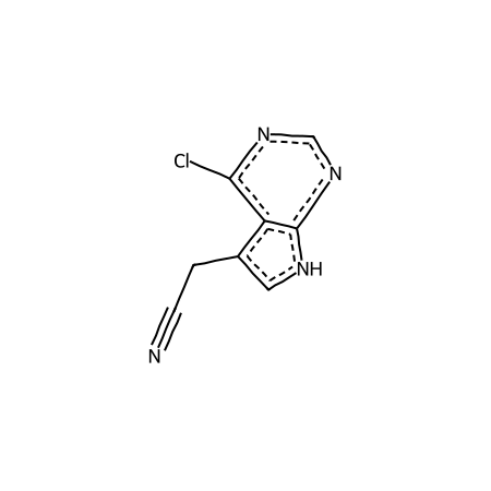 N#CCc1c[nH]c2ncnc(Cl)c12